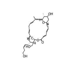 CC1=C\[C@H]2O[C@@H](C/C=C/C=C/C(=O)O[C@@H]3C[C@@H](/C=C/C\C=C\1)O[C@@H](C/C=C\CCO)[C@]3(C)CO)C[C@H](O)[C@H]2C